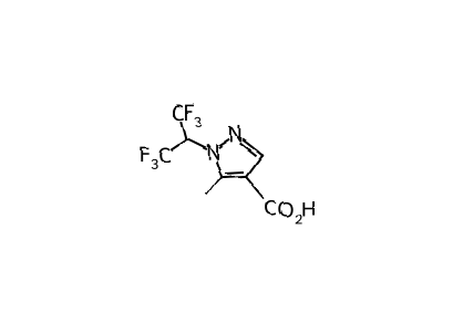 Cc1c(C(=O)O)cnn1C(C(F)(F)F)C(F)(F)F